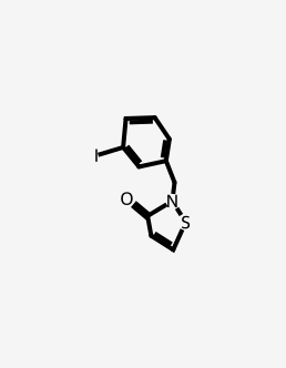 O=c1ccsn1Cc1cccc(I)c1